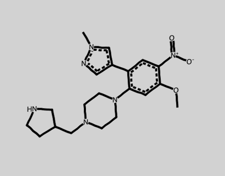 COc1cc(N2CCN(CC3CCNC3)CC2)c(-c2cnn(C)c2)cc1[N+](=O)[O-]